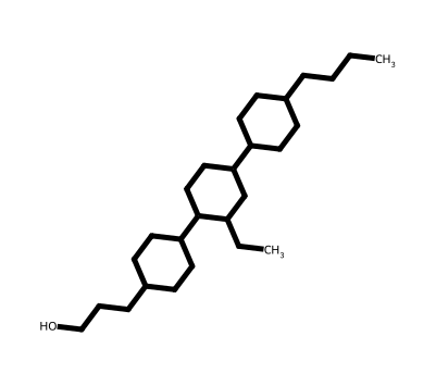 CCCCC1CCC(C2CCC(C3CCC(CCCO)CC3)C(CC)C2)CC1